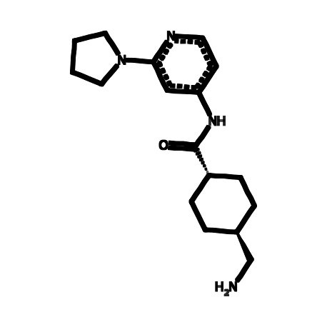 NC[C@H]1CC[C@H](C(=O)Nc2ccnc(N3CCCC3)c2)CC1